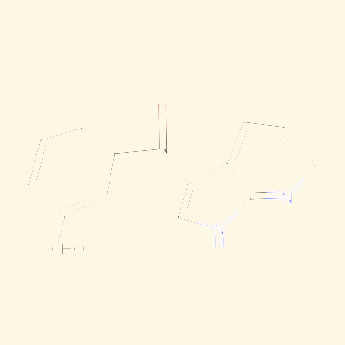 O=Cc1cccc(C(=O)c2c[nH]c3ncccc23)c1